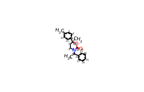 Cc1ccc([C@]2(C)CCN([C@@H](C)c3ccccc3)C(=O)O2)cc1